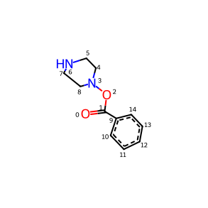 O=C(ON1CCNCC1)c1ccccc1